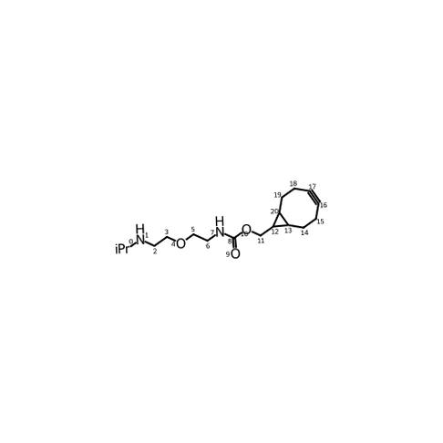 CC(C)NCCOCCNC(=O)OCC1C2CCC#CCCC21